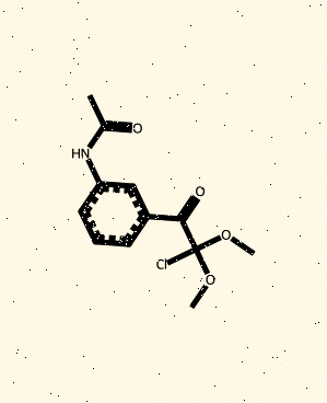 COC(Cl)(OC)C(=O)c1cccc(NC(C)=O)c1